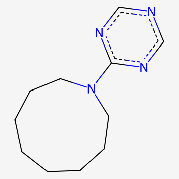 c1ncnc(N2CCCCCCCC2)n1